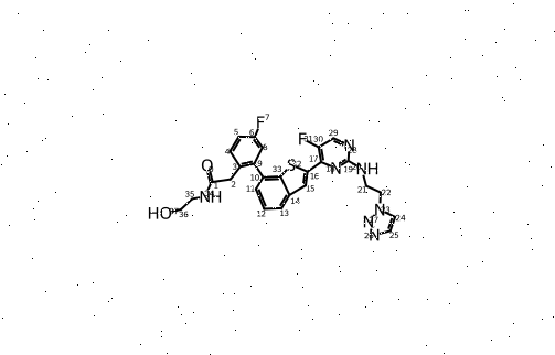 O=C(Cc1ccc(F)cc1-c1cccc2cc(-c3nc(NCCn4ccnn4)ncc3F)sc12)NCCO